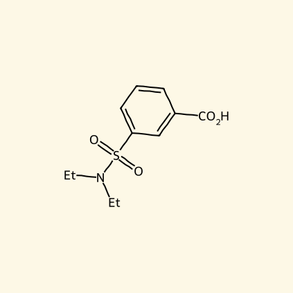 CCN(CC)S(=O)(=O)c1cccc(C(=O)O)c1